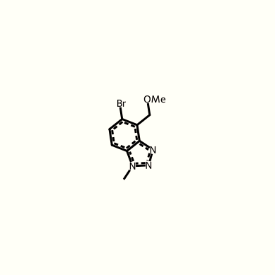 COCc1c(Br)ccc2c1nnn2C